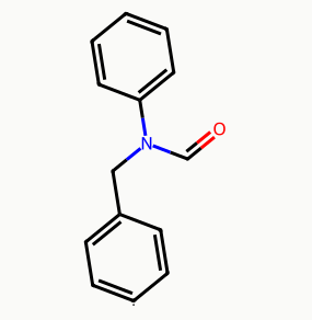 O=CN(Cc1cc[c]cc1)c1ccccc1